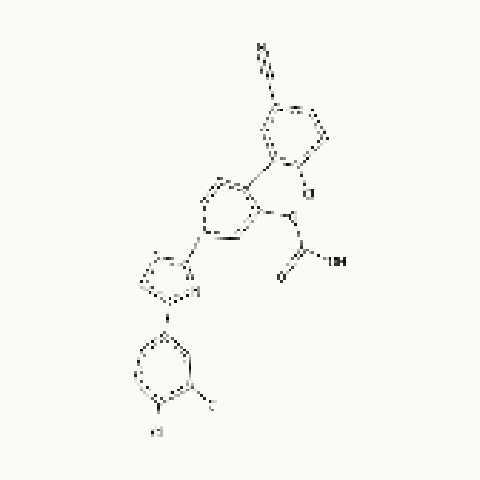 N#Cc1ccc(Cl)c(-c2ccc(-c3nc(-c4ccc(Cl)c(Cl)c4)cs3)cc2OC(=O)O)c1